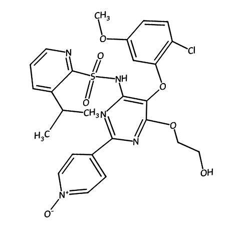 COc1ccc(Cl)c(Oc2c(NS(=O)(=O)c3ncccc3C(C)C)nc(-c3cc[n+]([O-])cc3)nc2OCCO)c1